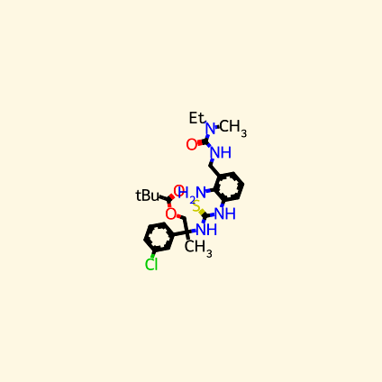 CCN(C)C(=O)NCc1cccc(NC(=S)NC(C)(COC(=O)C(C)(C)C)c2cccc(Cl)c2)c1N